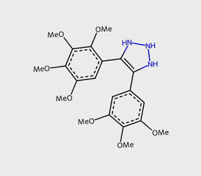 COc1cc(C2=C(c3cc(OC)c(OC)c(OC)c3OC)NNN2)cc(OC)c1OC